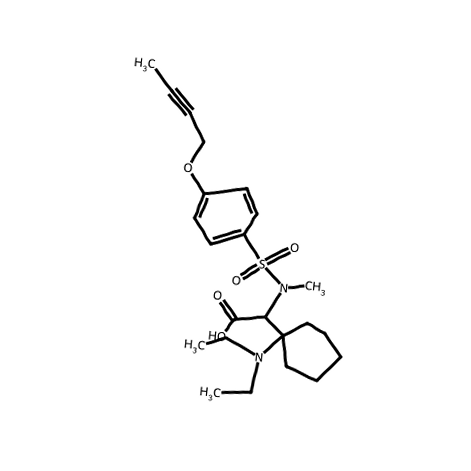 CC#CCOc1ccc(S(=O)(=O)N(C)C(C(=O)O)C2(N(CC)CC)CCCCC2)cc1